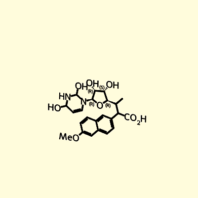 COc1ccc2cc(C(C(=O)O)C(C)[C@H]3O[C@@H](N4C=CC(O)NC4O)[C@H](O)[C@@H]3O)ccc2c1